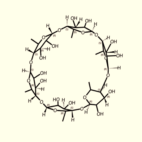 CC1O[C@@H]2O[C@@H]3C(C)O[C@H](O[C@@H]4C(C)O[C@H](O[C@@H]5C(C)O[C@@H](O[C@@H]6C(C)O[C@H](O[C@@H]7C(C)O[C@H](O[C@H]1[C@H](O)C2O)C(O)[C@H]7O)C(O)[C@H]6O)C(O)[C@H]5O)C(O)[C@H]4O)C(O)[C@H]3O